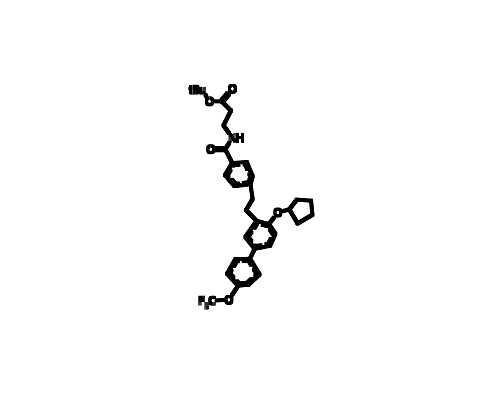 CC(C)(C)OC(=O)CCNC(=O)c1ccc(CCc2cc(-c3ccc(OC(F)(F)F)cc3)ccc2OC2CCCC2)cc1